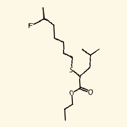 CCCOC(=O)C(CC(C)C)SCCCCCC(C)F